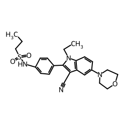 CCCS(=O)(=O)Nc1ccc(-c2c(C#N)c3cc(N4CCOCC4)ccc3n2CC)cc1